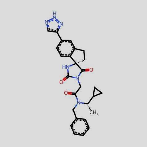 C[C@@H](C1CC1)N(Cc1ccccc1)C(=O)CN1C(=O)N[C@]2(CCc3cc(-c4cn[nH]n4)ccc32)C1=O